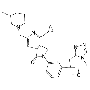 CC1CCCN(Cc2cc3c(c(C4CC4)n2)CN(c2cccc(C4(Cc5nncn5C)COC4)c2)C3=O)C1